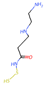 NCCNCCC(=O)NSS